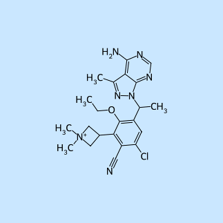 CCOc1c(C(C)n2nc(C)c3c(N)ncnc32)cc(Cl)c(C#N)c1C1C[N+](C)(C)C1